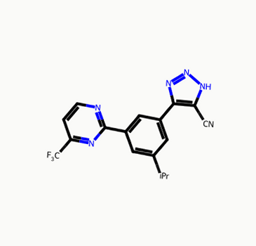 CC(C)c1cc(-c2nccc(C(F)(F)F)n2)cc(-c2nn[nH]c2C#N)c1